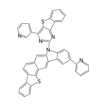 c1ccc(-c2ccc3c(c2)c2cc4c(ccc5c6ccccc6sc45)cc2n3-c2nc(-c3cccnc3)c3sc4ccccc4c3n2)nc1